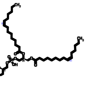 CCCCC/C=C\CCCCCCCC(=O)OC[C@H](COP(=O)(O)OC[C@@H](O)CO)OC(=O)CCCCCCC/C=C\CCCCC